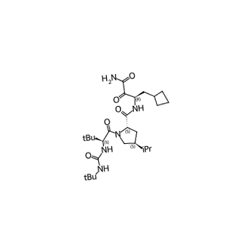 CC(C)[C@@H]1C[C@@H](C(=O)N[C@H](CC2CCC2)C(=O)C(N)=O)N(C(=O)[C@@H](NC(=O)NC(C)(C)C)C(C)(C)C)C1